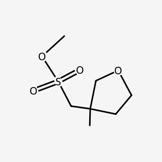 COS(=O)(=O)CC1(C)CCOC1